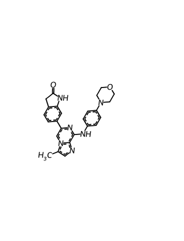 Cc1cnc2c(Nc3ccc(N4CCOCC4)cc3)nc(-c3ccc4c(c3)NC(=O)C4)cn12